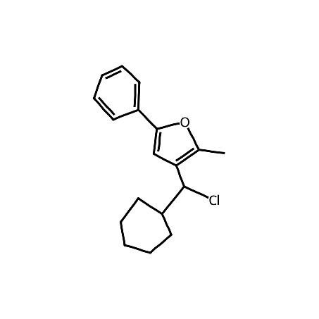 Cc1oc(-c2ccccc2)cc1C(Cl)C1CCCCC1